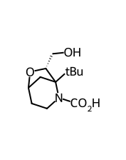 CC(C)(C)C12CC(CCN1C(=O)O)O[C@@H]2CO